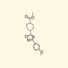 COC(=O)C1CCC(c2nc(-c3ccc(OC)cc3)no2)CC1